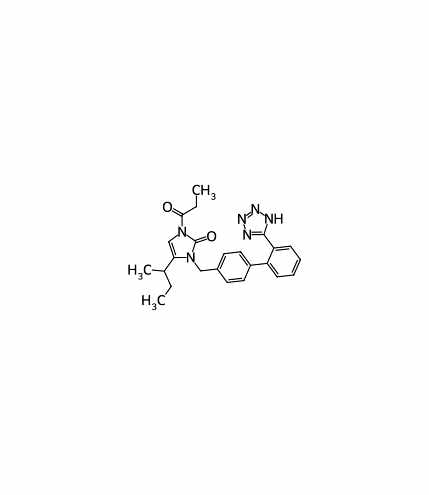 CCC(=O)n1cc(C(C)CC)n(Cc2ccc(-c3ccccc3-c3nnn[nH]3)cc2)c1=O